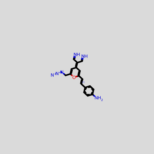 [N-]=[N+]=NCC1=CC(=C(C=N)C=N)C=C(/C=C/c2ccc(N)cc2)O1